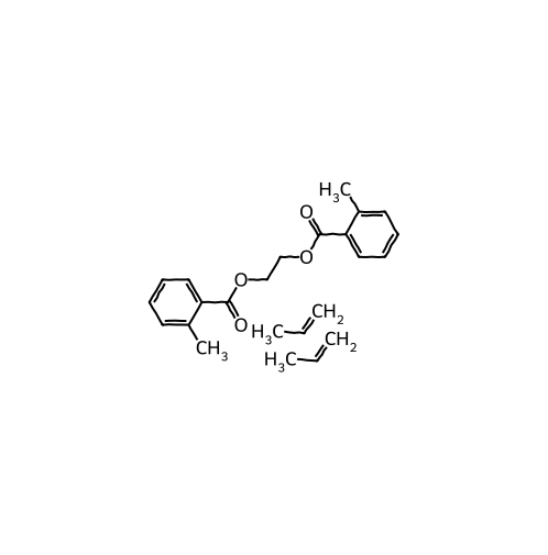 C=CC.C=CC.Cc1ccccc1C(=O)OCCOC(=O)c1ccccc1C